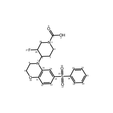 O=C(O)N1CCC(N2CCOc3ccc(S(=O)(=O)c4ccccc4)cc32)C(F)C1